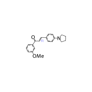 COc1cccc(C(=O)/C=C/c2ccc(N3CCCC3)cc2)c1